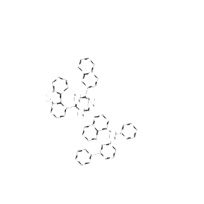 c1ccc(-c2cccc3c2-c2cccc4c(-c5nc(-c6ccc7ccccc7c6)nc(-c6cccc7sc8ccccc8c67)n5)ccc(c24)N3c2ccccc2)cc1